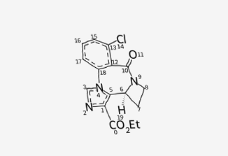 CCOC(=O)c1ncn2c1[C@@H]1CCN1C(=O)c1c(Cl)cccc1-2